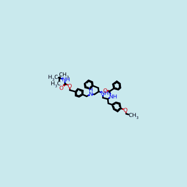 CCOc1ccc(CC(CNC(CNCc2ccc(COC(=O)NC(C)(C)C)cc2)Cc2ccccc2)NC(=O)c2ccccc2)cc1